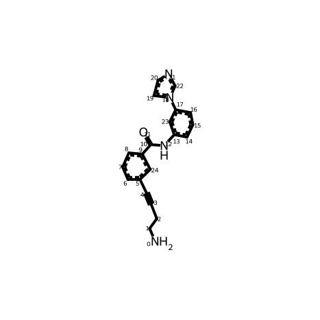 NCCC#Cc1cccc(C(=O)Nc2cccc(-n3ccnc3)c2)c1